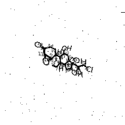 C[C@]12C[C@H](O)[C@H]3[C@@H](CC[C@]45OC4C(=O)CC[C@]35C)[C@@H]1C[C@@H](O)[C@]2(O)C(=O)CCl